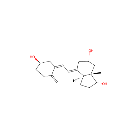 C=C1CC[C@@H](O)C/C1=C/C=C1\C[C@H](O)C[C@]2(C)[C@H](O)CC[C@@H]12